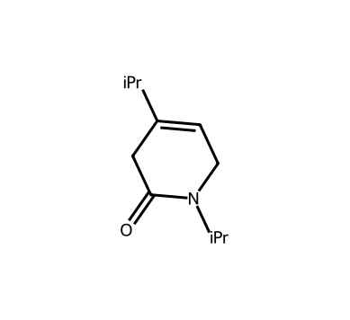 CC(C)C1=CCN(C(C)C)C(=O)C1